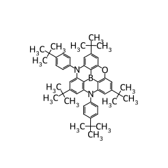 CC(C)(C)c1ccc(N2c3cc(C(C)(C)C)cc4c3B3c5c(cc(C(C)(C)C)cc5N(c5ccc(C(C)(C)C)cc5)c5cc(C(C)(C)C)cc2c53)O4)cc1